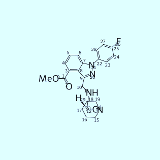 COC(=O)c1cccc2c1c(CN[C@@H]1CN3CCC1CC3)nn2-c1ccc(F)cc1